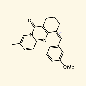 COc1cccc(/C=C2/CCCc3c2nc2ccc(C)cn2c3=O)c1